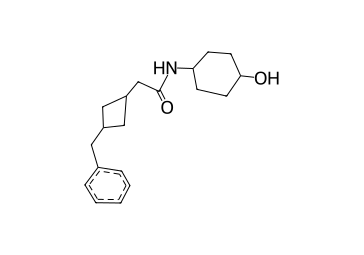 O=C(CC1CC(Cc2ccccc2)C1)NC1CCC(O)CC1